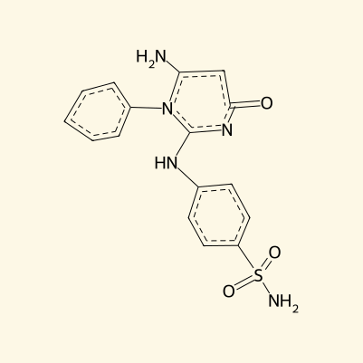 Nc1cc(=O)nc(Nc2ccc(S(N)(=O)=O)cc2)n1-c1ccccc1